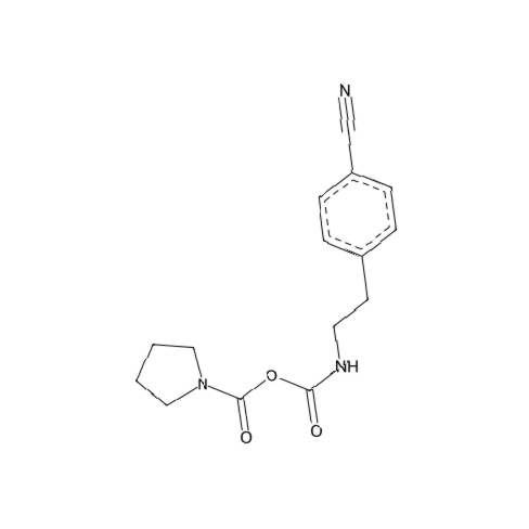 N#Cc1ccc(CCNC(=O)OC(=O)N2CCCC2)cc1